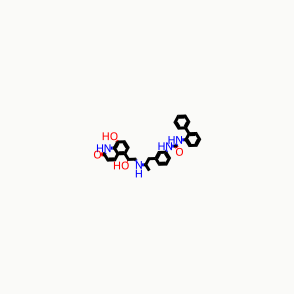 CC(Cc1cccc(NC(=O)Nc2ccccc2-c2ccccc2)c1)NC[C@H](O)c1ccc(O)c2[nH]c(=O)ccc12